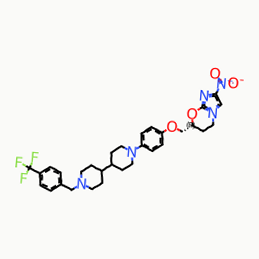 O=[N+]([O-])c1cn2c(n1)O[C@@H](COc1ccc(N3CCC(C4CCN(Cc5ccc(C(F)(F)F)cc5)CC4)CC3)cc1)CC2